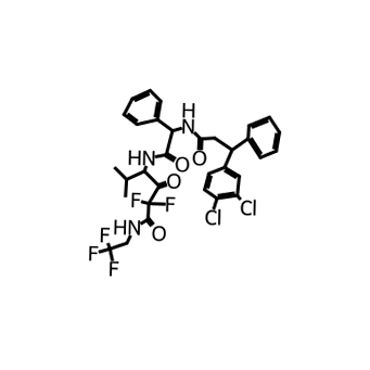 CC(C)C(NC(=O)C(NC(=O)CC(c1ccccc1)c1ccc(Cl)c(Cl)c1)c1ccccc1)C(=O)C(F)(F)C(=O)NCC(F)(F)F